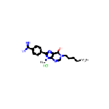 CCOC(=O)CCCCN1C=Nc2c(nc(-c3ccc(C(=N)N)cc3)n2C)C1O.Cl